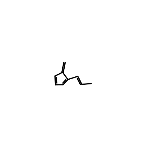 C=C1C=CC=C1C=CC